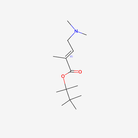 C/C(=C\CN(C)C)C(=O)OC(C)(C)C(C)(C)C